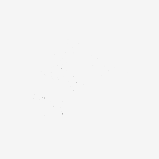 CC[C@H]1c2cc3[nH]c4c(c3C)C(=O)[C@H](C(=O)OC)c4c3nc(cc4[nH]c(cc(n2)[C@@H]1C)c(C(C)=O)c4C)[C@@H](C)C3CCC(=O)OC/C=C(\C)CCCC(C)CCCC(C)CCCC(C)C